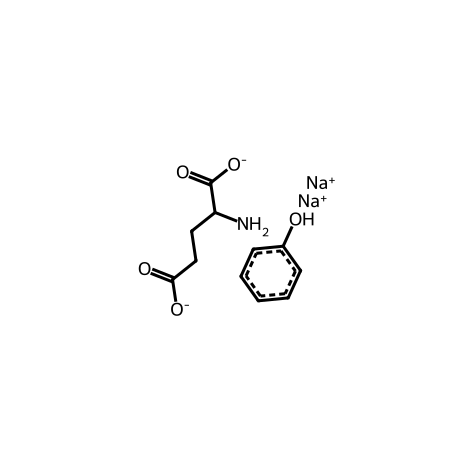 NC(CCC(=O)[O-])C(=O)[O-].Oc1ccccc1.[Na+].[Na+]